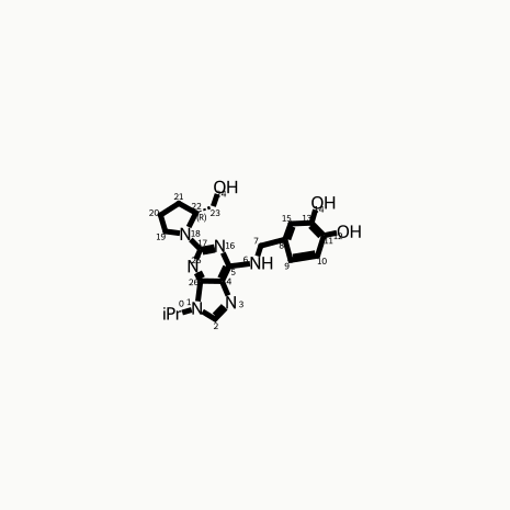 CC(C)n1cnc2c(NCc3ccc(O)c(O)c3)nc(N3CCC[C@@H]3CO)nc21